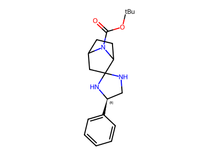 CC(C)(C)OC(=O)N1C2CCC1C1(C2)NC[C@@H](c2ccccc2)N1